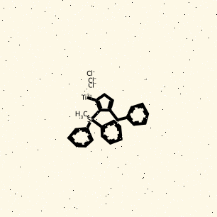 C[Si](C1=[C]([Ti+3])CC=C1Cc1ccccc1)(c1ccccc1)c1ccccc1.[Cl-].[Cl-].[Cl-]